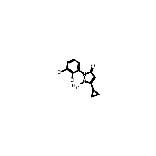 Cn1c(C2CC2)cc(=O)n1-c1cccc(Cl)c1Cl